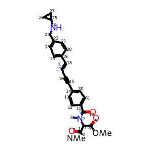 CNC(=O)C(C(=O)OC)N(C)C(=O)c1ccc(C#C/C=C/c2ccc(CNC3CC3)cc2)cc1